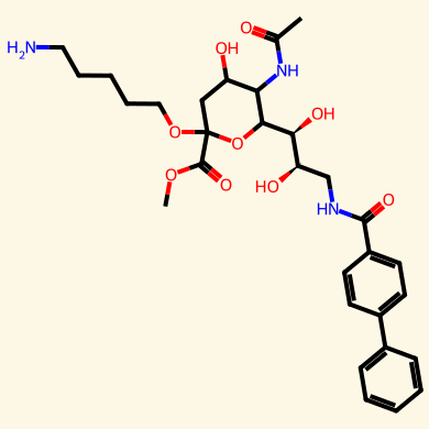 COC(=O)C1(OCCCCCN)CC(O)C(NC(C)=O)C([C@@H](O)[C@H](O)CNC(=O)c2ccc(-c3ccccc3)cc2)O1